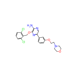 Nc1ncc(-c2cccc(OCCN3CCOCC3)c2)nc1OCc1c(Cl)cccc1Cl